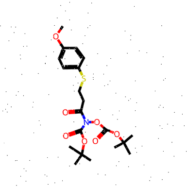 COc1ccc(SCCC(=O)N(OC(=O)OC(C)(C)C)C(=O)OC(C)(C)C)cc1